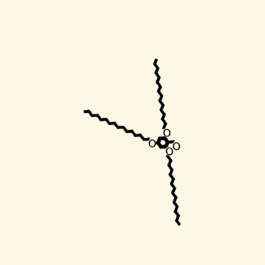 CCCCCCCCCCCCCCCCOc1cc(OCCCCCCCCCCCCCCCC)c(C=O)c(OCCCCCCCCCCCCCCCC)c1